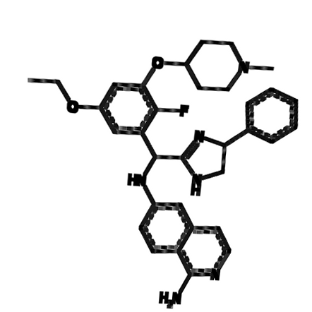 CCOc1cc(OC2CCN(C)CC2)c(F)c(C(Nc2ccc3c(N)nccc3c2)C2=NC(c3ccccc3)CN2)c1